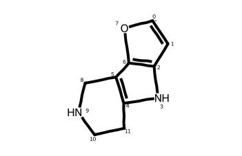 [c]1cc2[nH]c3c(c2o1)CNCC3